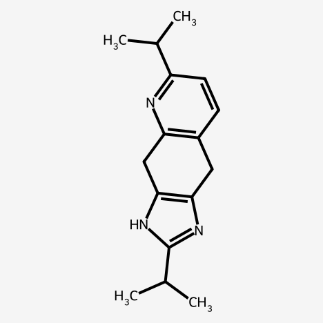 CC(C)c1ccc2c(n1)Cc1[nH]c(C(C)C)nc1C2